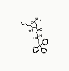 CCCCC[C@H](O)N(CC(N)=O)C(=O)CNC(=O)CSC(c1ccccc1)(c1ccccc1)c1ccccc1